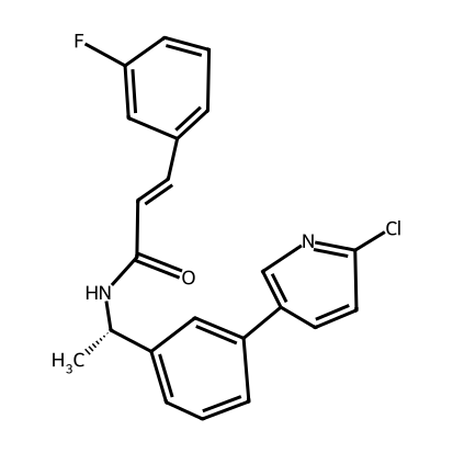 C[C@H](NC(=O)C=Cc1cccc(F)c1)c1cccc(-c2ccc(Cl)nc2)c1